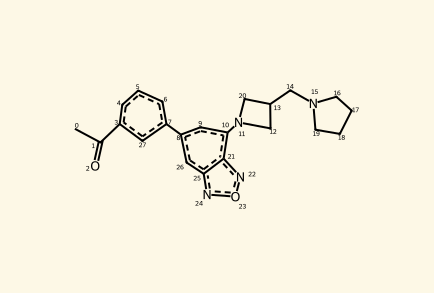 CC(=O)c1cccc(-c2cc(N3CC(CN4CCCC4)C3)c3nonc3c2)c1